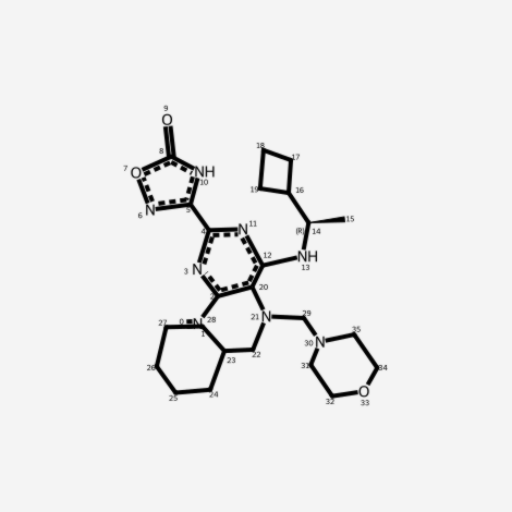 C=Nc1nc(-c2noc(=O)[nH]2)nc(N[C@H](C)C2CCC2)c1N(CC1CCCCC1)CN1CCOCC1